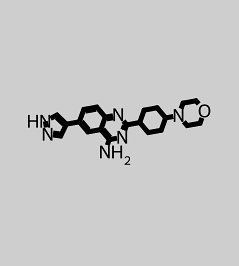 Nc1nc(C2CCC(N3CCOCC3)CC2)nc2ccc(-c3cn[nH]c3)cc12